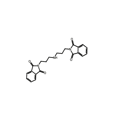 O=C1c2ccccc2C(=O)N1CCCNCCCN1C(=O)c2ccccc2C1=O